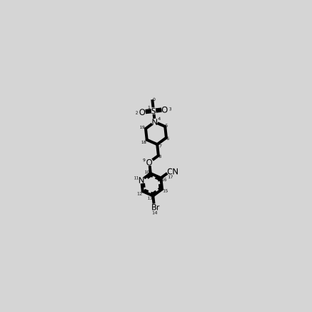 CS(=O)(=O)N1CCC(COc2ncc(Br)cc2C#N)CC1